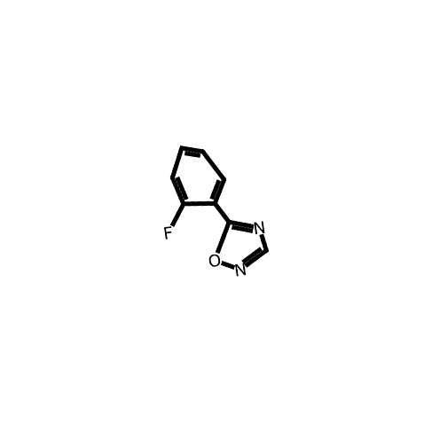 Fc1ccccc1-c1ncno1